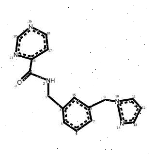 O=C(NCc1cccc(Cn2cccn2)c1)c1ccncn1